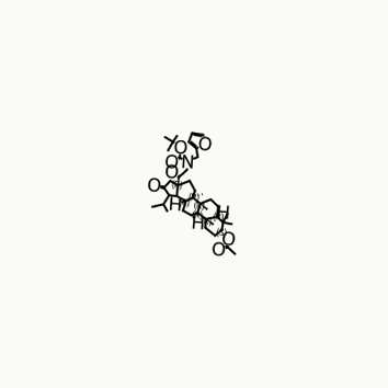 CC(=O)O[C@H]1CC[C@]2(C)[C@H]3CC[C@@H]4C5C(C(C)C)C(=O)C[C@]5(C(=O)CN(Cc5ccco5)C(=O)OC(C)(C)C)CC[C@@]4(C)[C@]3(C)CC[C@H]2C1(C)C